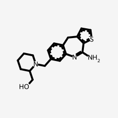 NC1=Nc2cc(CN3CCCCC3CO)ccc2Cc2ccsc21